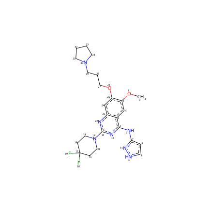 COc1cc2c(Nc3cc[nH]n3)nc(N3CCC(F)(F)CC3)nc2cc1OCCCN1CCCC1